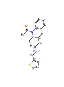 CCC(=O)N(c1ccccc1)C1CCC(NCc2cccs2)CC1C